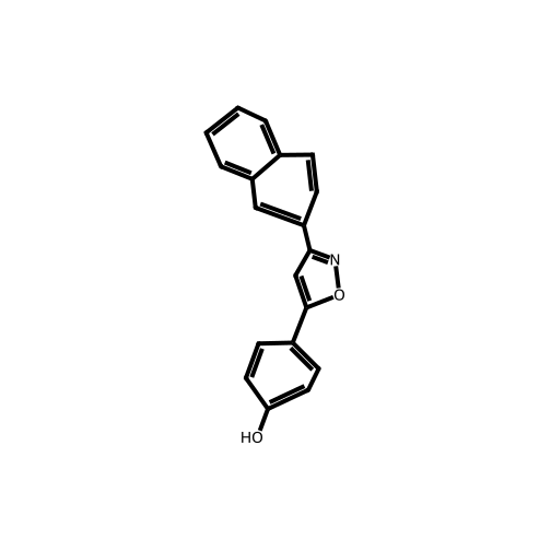 Oc1ccc(-c2cc(-c3ccc4ccccc4c3)no2)cc1